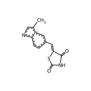 Cc1cnc2ccc(/C=C3\SC(=O)NC3=O)cn12